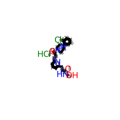 Cl.O=C(/C=C/c1cccc(/C=C/C(=O)N2CCN(c3ccccc3Cl)CC2)n1)NO